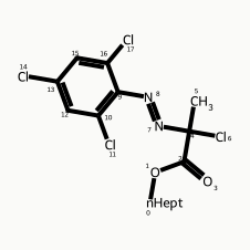 CCCCCCCOC(=O)C(C)(Cl)N=Nc1c(Cl)cc(Cl)cc1Cl